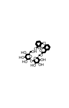 O=C(Cc1ccccc1Nc1c(Cl)cccc1Cl)OC[C@H]1O[C@H](O[C@H]2O[C@H](CO)[C@@H](O)[C@H](O)[C@H]2O)[C@H](O)[C@@H](O)[C@@H]1O